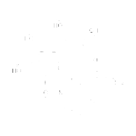 NC(=O)c1cccnc1.O=C1OC(C(O)CO)C(O)=C1O